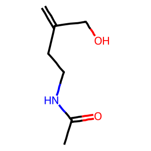 C=C(CO)CCNC(C)=O